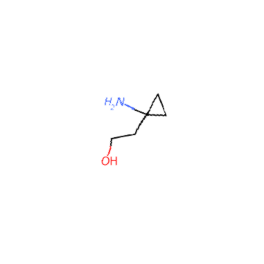 NC1(CCO)CC1